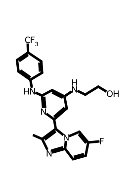 Cc1nc2ccc(F)cn2c1-c1cc(NCCO)cc(Nc2ccc(C(F)(F)F)cc2)n1